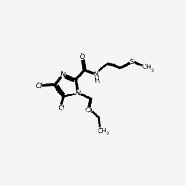 CCOCn1c(C(=O)NCCSC)nc(Cl)c1Cl